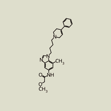 COCC(=O)Nc1cc(C)c2c(c1)ncn2CCCCN1CC=C(c2ccccc2)CC1